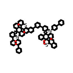 CC1(C)c2ccccc2C2(c3ccccc3Sc3c2ccc2ccccc32)c2cccc(N(c3ccc(-c4ccccc4)cc3)c3ccc(-c4cccc(-c5ccc6ccc7c(c6c5)Sc5ccccc5C75c6ccccc6C(C)(C)c6c(N(c7ccc(-c8ccccc8)cc7)c7ccccc7-c7ccccc7)cccc65)c4)cc3)c21